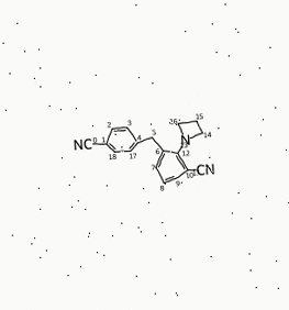 N#Cc1ccc(Cc2cccc(C#N)c2N2CCC2)cc1